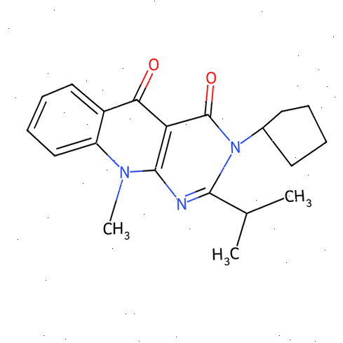 CC(C)c1nc2c(c(=O)c3ccccc3n2C)c(=O)n1C1CCCC1